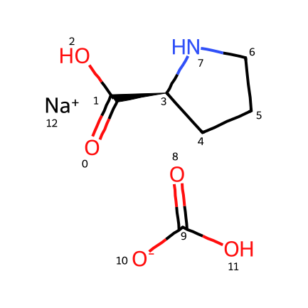 O=C(O)[C@@H]1CCCN1.O=C([O-])O.[Na+]